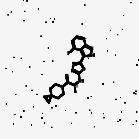 C[C@H](Nc1nnc(-c2[nH]nc3cccc(F)c23)o1)C(=O)N1CCC2(CC1)CC2